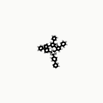 c1ccc(-c2ccc(-c3nc(-c4ccc(-c5ccccc5)cc4)nc(-c4ccc(-c5ccccc5)c5sc6c(-c7ccccc7)cc(-c7ccccc7)cc6c45)n3)cc2)cc1